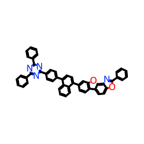 c1ccc(-c2nc(-c3ccccc3)nc(-c3ccc(-c4ccc(-c5ccc6c(c5)oc5c6ccc6oc(-c7ccccc7)nc65)c5ccccc45)cc3)n2)cc1